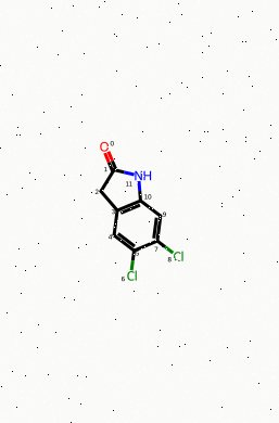 O=C1Cc2cc(Cl)c(Cl)cc2N1